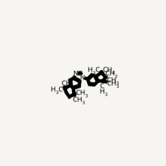 CC1(C)CCC(C)(C)c2cc3c(cc21)ncn3-c1ccc2c(c1)C(C)(C)C(C)(C)C2(C)C